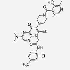 CCc1c(N2CCN(C(=O)c3ncnc(C)c3O)CC2)c(=O)c2nc(N(C)C)cnc2n1CC(=O)Nc1ccc(C(F)(F)F)cc1Cl